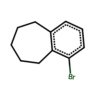 Brc1cccc2c1CCCCC2